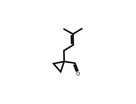 CC(C)=CCC1(C=O)CC1